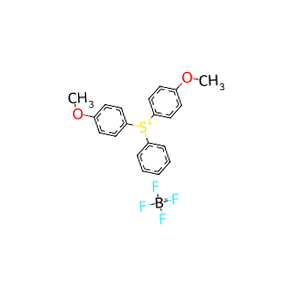 COc1ccc([S+](c2ccccc2)c2ccc(OC)cc2)cc1.F[B-](F)(F)F